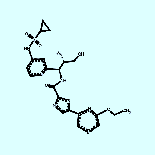 CCOc1cncc(-c2cnc(C(=O)N[C@@H](c3cc(NS(=O)(=O)C4CC4)ccn3)[C@H](C)CO)s2)n1